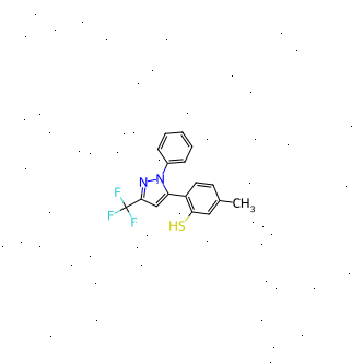 Cc1ccc(-c2cc(C(F)(F)F)nn2-c2ccccc2)c(S)c1